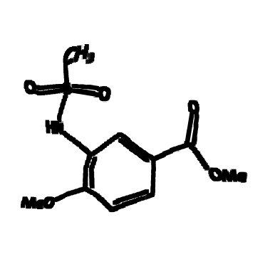 COC(=O)c1ccc(OC)c(NS(C)(=O)=O)c1